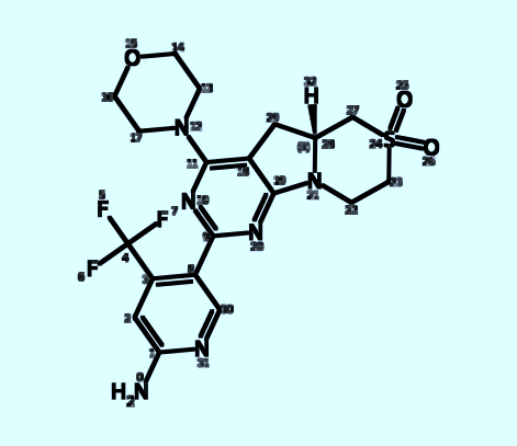 Nc1cc(C(F)(F)F)c(-c2nc(N3CCOCC3)c3c(n2)N2CCS(=O)(=O)C[C@H]2C3)cn1